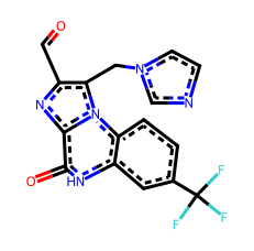 O=Cc1nc2c(=O)[nH]c3cc(C(F)(F)F)ccc3n2c1Cn1ccnc1